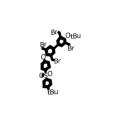 CC(C)(C)Oc1c(CBr)cc(-c2cc(CBr)c(Oc3ccc(S(=O)(=O)c4ccc(C(C)(C)C)cc4)cc3)c(CBr)c2)cc1CBr